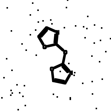 c1coc(Oc2ncco2)n1